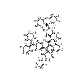 c1ccc(-c2ccc(-c3cccc(-c4ccc5cc(N(c6ccccc6)c6ccccc6)ccc5c4)c3-c3ccc4cc(N(c5ccccc5)c5ccccc5)ccc4c3)cc2)cc1